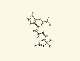 CNc1nc(Nc2cc(C(C)C)cc3c2cnn3C)ncc1C(F)(F)F